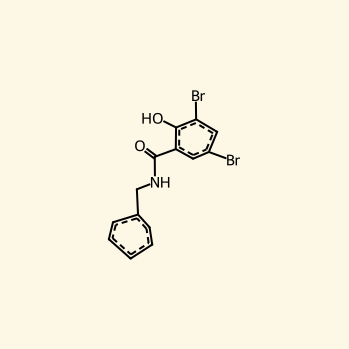 O=C(NCc1ccccc1)c1cc(Br)cc(Br)c1O